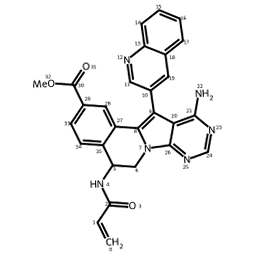 C=CC(=O)NC1Cn2c(c(-c3cnc4ccccc4c3)c3c(N)ncnc32)-c2cc(C(=O)OC)ccc21